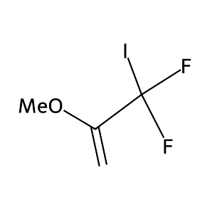 C=C(OC)C(F)(F)I